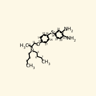 CCCCN(CCCC)C(C)COc1ccc(Sc2ccc(N)c(N)c2)cc1